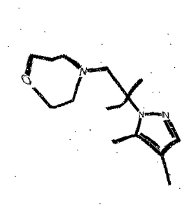 Cc1cnn(C(C)(C)CN2CCOCC2)c1C